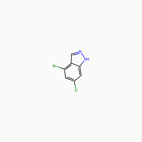 Clc1cc(Br)c2cn[nH]c2c1